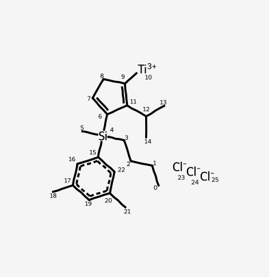 CCCC[Si](C)(C1=CC[C]([Ti+3])=C1C(C)C)c1cc(C)cc(C)c1.[Cl-].[Cl-].[Cl-]